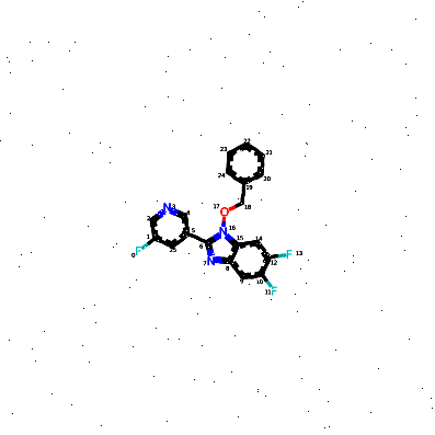 Fc1cncc(-c2nc3cc(F)c(F)cc3n2OCc2ccccc2)c1